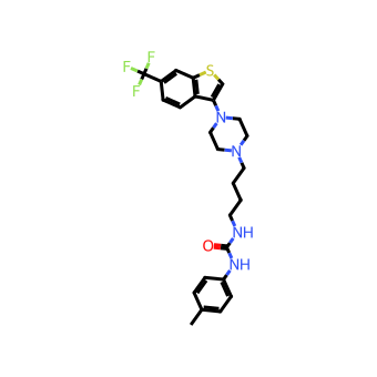 Cc1ccc(NC(=O)NCCCCN2CCN(c3csc4cc(C(F)(F)F)ccc34)CC2)cc1